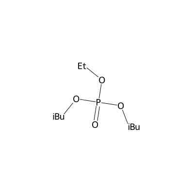 CCOP(=O)(OC(C)CC)OC(C)CC